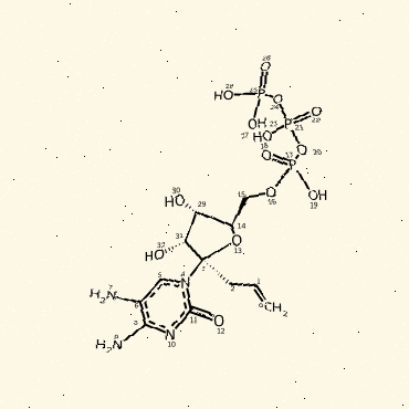 C=CC[C@@]1(n2cc(N)c(N)nc2=O)O[C@H](COP(=O)(O)OP(=O)(O)OP(=O)(O)O)[C@@H](O)[C@H]1O